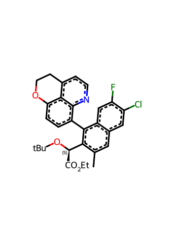 CCOC(=O)[C@@H](OC(C)(C)C)c1c(C)cc2cc(Cl)c(F)cc2c1-c1ccc2c3c(ccnc13)CCO2